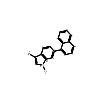 [O][SH]1C=C(Br)c2ccc(-c3cccc4ccccc34)cc21